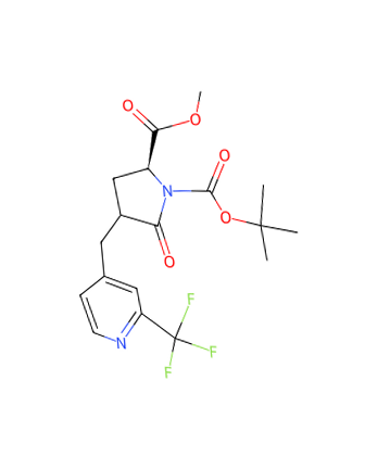 COC(=O)[C@@H]1CC(Cc2ccnc(C(F)(F)F)c2)C(=O)N1C(=O)OC(C)(C)C